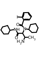 CC(N)C(C(=O)NC1CCCCC1)N(C(=O)c1ccccc1I)C1CCCCC1